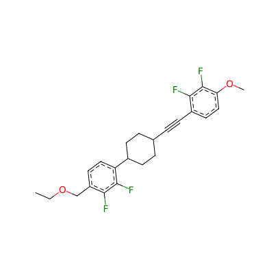 CCOCc1ccc(C2CCC(C#Cc3ccc(OC)c(F)c3F)CC2)c(F)c1F